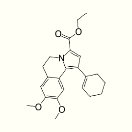 CCOC(=O)c1cc(C2=CCCCC2)c2n1CCc1cc(OC)c(OC)cc1-2